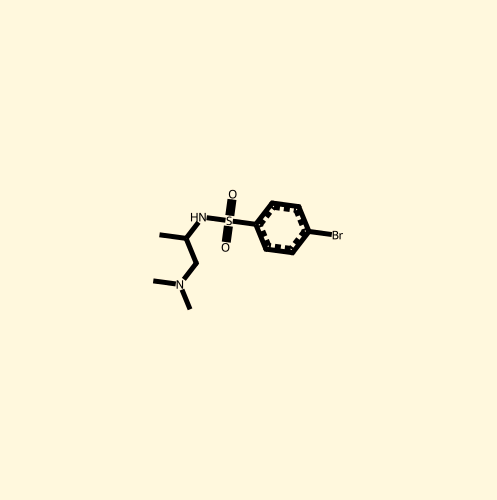 CC(CN(C)C)NS(=O)(=O)c1ccc(Br)cc1